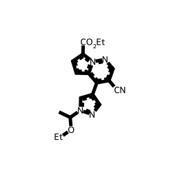 CCOC(=O)c1ccc2c(-c3cnn(C(C)OCC)c3)c(C#N)cnn12